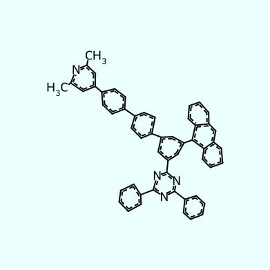 Cc1cc(-c2ccc(-c3ccc(-c4cc(-c5nc(-c6ccccc6)nc(-c6ccccc6)n5)cc(-c5c6ccccc6cc6ccccc56)c4)cc3)cc2)cc(C)n1